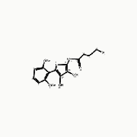 COc1cccc(OC)c1-c1oc(NC(=O)CCCBr)c(OC(C)=O)c1O